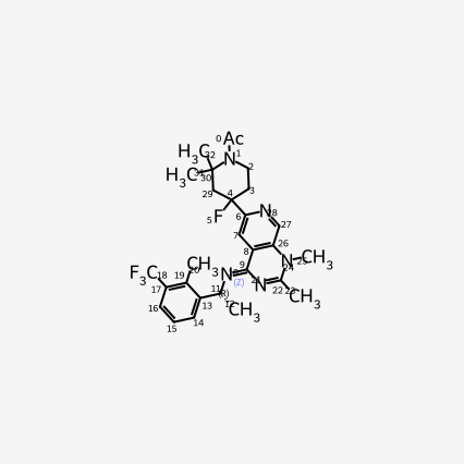 CC(=O)N1CCC(F)(c2cc3/c(=N/[C@H](C)c4cccc(C(F)(F)F)c4C)nc(C)n(C)c3cn2)CC1(C)C